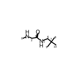 CNCC(=O)NCC(C)(C)C